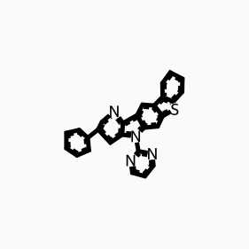 c1ccc(-c2cnc3c4cc5c(cc4n(-c4ncccn4)c3c2)sc2ccccc25)cc1